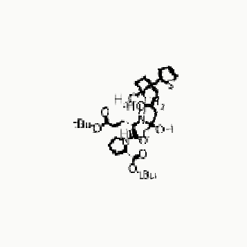 CC(C)(C)OC(=O)CC[C@H](NC(O)(CC(O)CC1(c2cccs2)CCC1(C)C)C(=O)O)C(=O)N1CCC[C@H]1C(=O)OC(C)(C)C